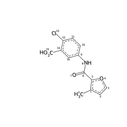 Cc1ccoc1C(=O)Nc1ccc(Cl)c(C(=O)O)c1